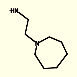 [NH]CCN1CCCCCC1